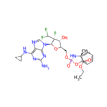 CCOC(=O)[C@H](C)N[P@](=O)(OC[C@H]1O[C@@H](n2cnc3c(NC4CC4)nc(N)nc32)[C@@](F)(C(F)F)[C@@H]1O)Oc1ccccc1